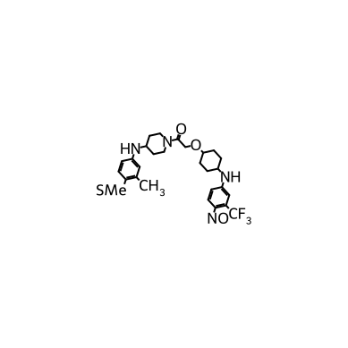 CSc1ccc(NC2CCN(C(=O)COC3CCC(Nc4ccc(N=O)c(C(F)(F)F)c4)CC3)CC2)cc1C